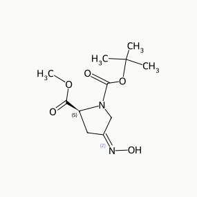 COC(=O)[C@@H]1C/C(=N/O)CN1C(=O)OC(C)(C)C